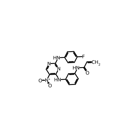 C=CC(=O)Nc1cccc(Nc2nc(Nc3ccc(F)cc3)ncc2[N+](=O)[O-])c1